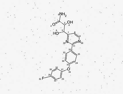 NC(=O)C(O)C(O)c1ccnc(-c2ccc(Oc3ccc(F)cc3)cc2)n1